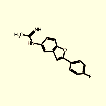 CC(=N)Nc1ccc2oc(-c3ccc(F)cc3)cc2c1